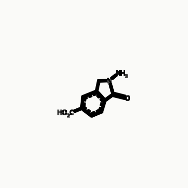 NN1Cc2cc(C(=O)O)ccc2C1=O